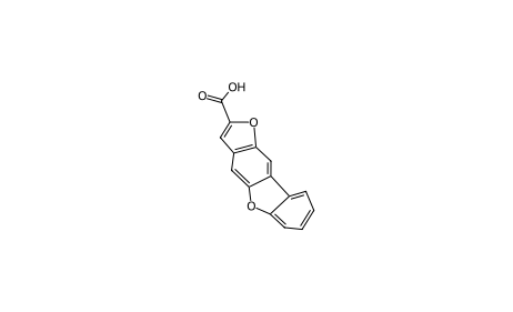 O=C(O)c1cc2cc3oc4ccccc4c3cc2o1